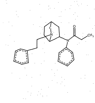 CCC(=O)N(c1ccccc1)C1CC2CCC1N(CCc1ccccc1)C2